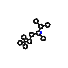 c1ccc(-c2cc(-c3ccccc3)cc(-c3cc(-c4cccc(-c5cccc6c5-c5ccccc5C6(c5ccccc5)c5ccccc5)c4)cc(-c4ccccc4)n3)c2)cc1